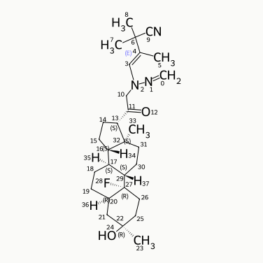 C=NN(/C=C(\C)C(C)(C)C#N)CC(=O)[C@H]1CC[C@H]2[C@@H]3CC[C@@H]4C[C@](C)(O)CC[C@]4(F)[C@H]3CC[C@]12C